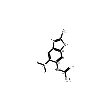 CN(C)c1cc2nc(C(C)(C)C)sc2cc1NC(N)=S